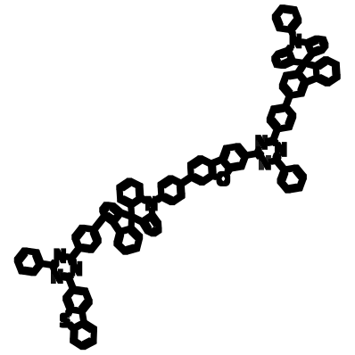 c1ccc(-c2nc(-c3ccc(-c4ccc5c(c4)-c4ccccc4C54c5ccccc5N(c5ccccc5)c5ccccc54)cc3)nc(-c3ccc4c(c3)oc3cc(-c5ccc(N6c7ccccc7C7(c8ccccc8-c8c(-c9ccc(-c%10nc(-c%11ccccc%11)nc(-c%11ccc%12c(c%11)sc%11ccccc%11%12)n%10)cc9)cccc87)c7ccccc76)cc5)ccc34)n2)cc1